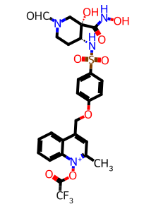 Cc1cc(COc2ccc(S(=O)(=O)N[C@@H]3CCN(C=O)C[C@@]3(O)C(=O)NO)cc2)c2ccccc2[n+]1OC(=O)C(F)(F)F